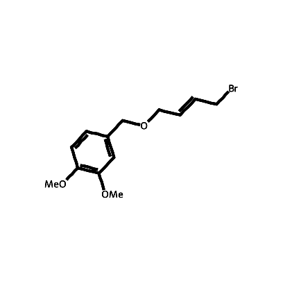 COc1ccc(COCC=CCBr)cc1OC